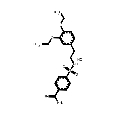 Cl.N=C(N)c1ccc(S(=O)(=O)NCCc2ccc(OCC(=O)O)c(OCC(=O)O)c2)cc1